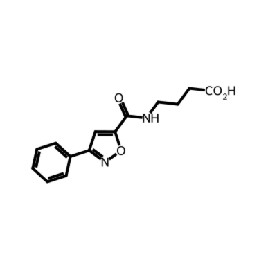 O=C(O)CCCNC(=O)c1cc(-c2ccccc2)no1